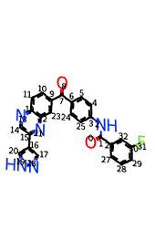 O=C(Nc1ccc(C(=O)c2ccc3ncc(-c4cn[nH]c4)nc3c2)cc1)c1cccc(F)c1